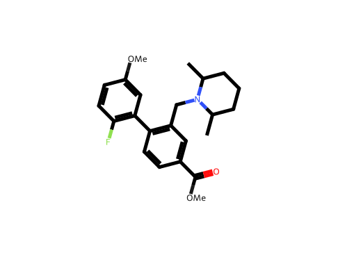 COC(=O)c1ccc(-c2cc(OC)ccc2F)c(CN2C(C)CCCC2C)c1